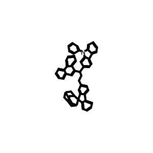 c1ccc(-n2c3ccccc3c3ccc(C(CCc4ccc5c(c4)C4(c6ccccc6-5)C5CC6CC(C5)CC4C6)c4cc5ccccc5c5ccccc45)cc32)cc1